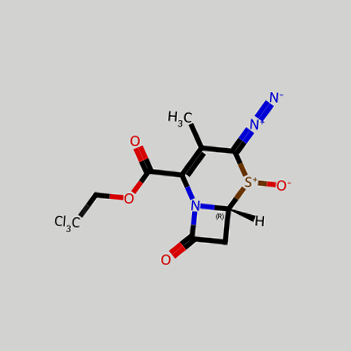 CC1=C(C(=O)OCC(Cl)(Cl)Cl)N2C(=O)C[C@H]2[S+]([O-])C1=[N+]=[N-]